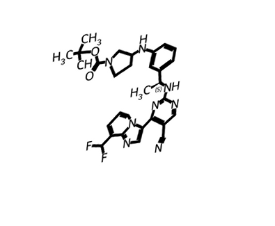 C[C@H](Nc1ncc(C#N)c(-c2cnc3c(C(F)F)cccn23)n1)c1cccc(NC2CCN(C(=O)OC(C)(C)C)C2)c1